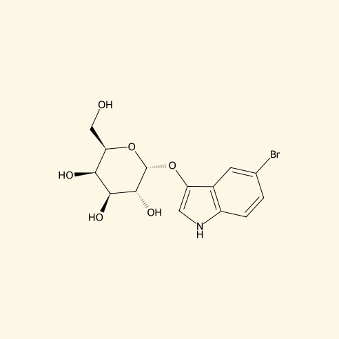 OC[C@H]1O[C@H](Oc2c[nH]c3ccc(Br)cc23)[C@H](O)[C@@H](O)[C@H]1O